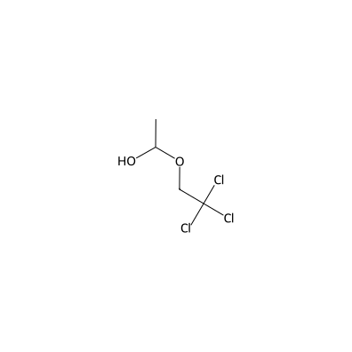 CC(O)OCC(Cl)(Cl)Cl